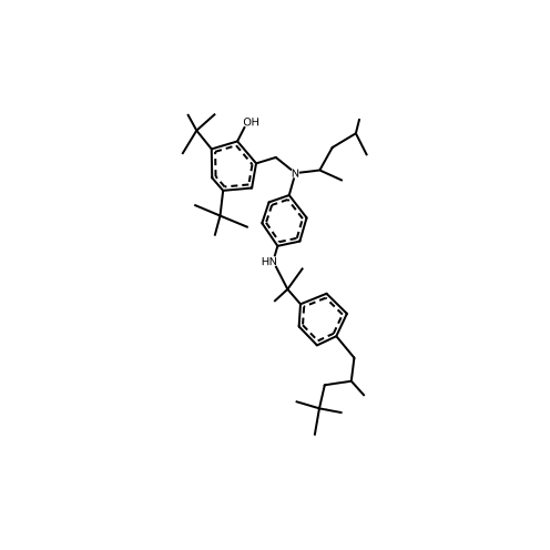 CC(C)CC(C)N(Cc1cc(C(C)(C)C)cc(C(C)(C)C)c1O)c1ccc(NC(C)(C)c2ccc(CC(C)CC(C)(C)C)cc2)cc1